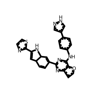 C1=CC2C=C(c3nccs3)NC2C=C1c1nc(Nc2ccc(-c3cn[nH]c3)cc2)c2occc2n1